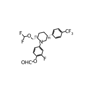 O=COc1ccc(N2C[C@@H](c3ccc(C(F)(F)F)cc3)CC[C@H]2COC(F)F)cc1F